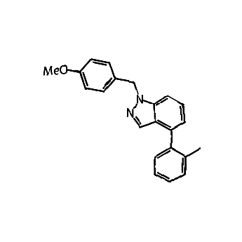 COc1ccc(Cn2ncc3c(-c4ccccc4C)cccc32)cc1